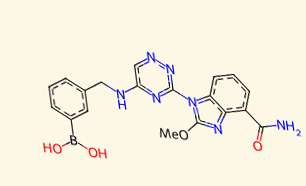 COc1nc2c(C(N)=O)cccc2n1-c1nncc(NCc2cccc(B(O)O)c2)n1